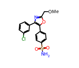 COCc1nc(-c2cccc(Cl)c2)c(-c2ccc(S(N)(=O)=O)cc2)o1